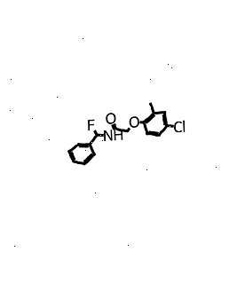 Cc1cc(Cl)ccc1OCC(=O)NC(F)c1ccccc1